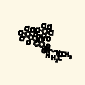 CCN(CC)CCCNS(=O)(=O)c1cc(N2C(=O)c3c(Cl)c(Cl)c(Cl)c(Cl)c3C2=O)c2nc(C3C(=O)c4c(Cl)c(Cl)c(Cl)c(Cl)c4C3=O)ccc2c1